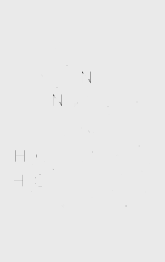 CC1(C)c2cccc3c2-c2c(cc(-c4nc5ccccc5nc4-c4ccccc4)cc21)-c1cccc2cccc-3c12